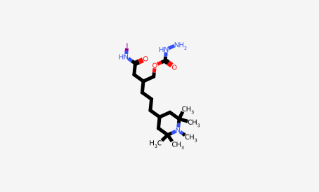 CN1C(C)(C)CC(CCCC(COC(=O)NN)CC(=O)NI)CC1(C)C